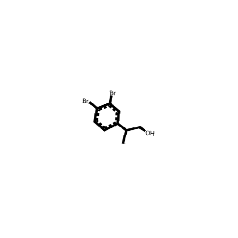 [CH2]C(CO)c1ccc(Br)c(Br)c1